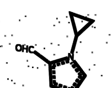 O=Cc1cccn1C1CC1